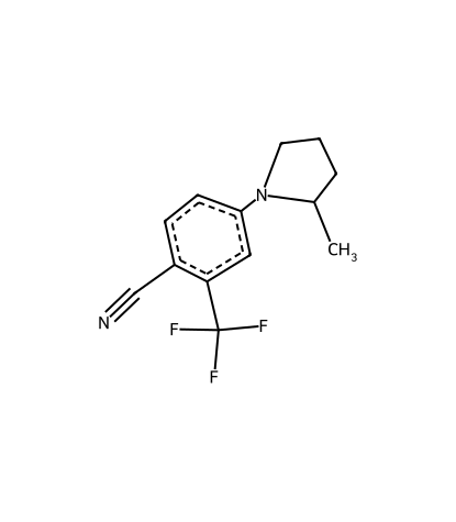 CC1CCCN1c1ccc(C#N)c(C(F)(F)F)c1